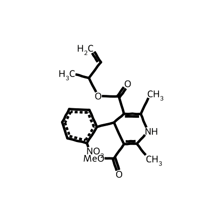 C=CC(C)OC(=O)C1=C(C)NC(C)=C(C(=O)OC)C1c1ccccc1[N+](=O)[O-]